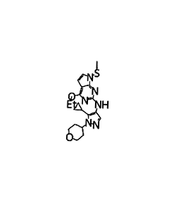 CCOc1nc(Nc2cnn(C3CCOCC3)c2C2CC2)nc2c1ccn2SI